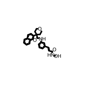 O=C(C=Cc1cccc(NC(=O)C2(c3ccc4ccccc4c3)CCOCC2)c1)NO